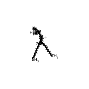 CCCCCCCCCCCCCC(=O)OCC(COP(=O)(O)OCCNC(=O)C(N)Cc1cnc[nH]1)OC(=O)CCCCCCCCCCCCC